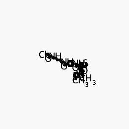 CCN(C(=O)Cn1c(C(=O)N[C@H]2CC[C@H](C(=O)NCCCCCNC(=O)CCl)CC2)cc2sccc21)c1cccc(C)c1